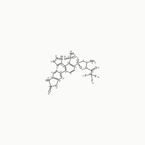 NC(CS(=O)(=O)c1ccc(-c2ccc3[nH]c(=O)oc3c2)c(-c2nnn[nH]2)c1S(N)(=O)=O)OC(=O)C(F)(F)F